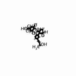 C[C@H](O)C#Cc1ccc2nc(Nc3c(Cl)cc(C(C)(C)O)cc3Cl)c3cc[nH]c(=O)c3c2c1